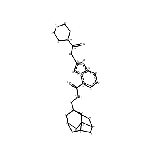 O=C(NCC12CC3CC4CC(C1)C4(C3)C2)c1cccc2nc(CC(=O)N3CCSCC3)cn12